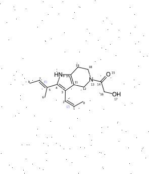 C/C=C\c1c(/C(C)=C/C)[nH]c2c1CN(C(=O)CO)CC2